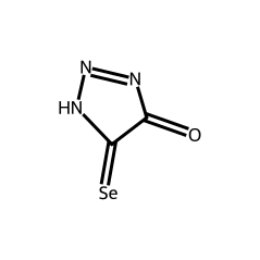 O=C1N=NNC1=[Se]